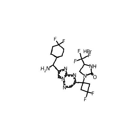 Br.NC(c1cn2ncc(C3(N4CC(C(F)(F)F)NC4=O)CC(F)(F)C3)nc2n1)C1CCC(F)(F)CC1